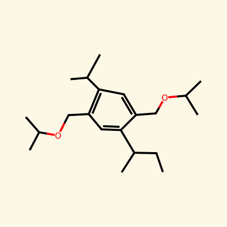 CCC(C)c1cc(COC(C)C)c(C(C)C)cc1COC(C)C